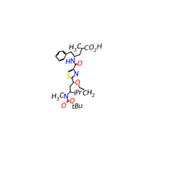 C=CCOC(CC(C(C)C)N(C)C(=O)OC(C)(C)C)c1nc(C(=O)NC(Cc2ccccc2)CC(C)C(=O)O)cs1